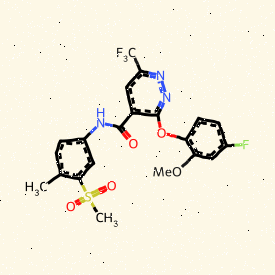 COc1cc(F)ccc1Oc1nnc(C(F)(F)F)cc1C(=O)Nc1ccc(C)c(S(C)(=O)=O)c1